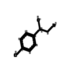 [O-][S+](CBr)c1ccc(Cl)cc1